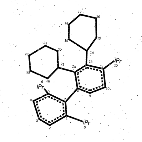 CC(C)c1cccc(C(C)C)c1-c1ccc(C(C)C)c(C2CCCCC2)c1C1CCCCC1